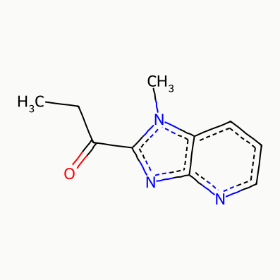 CCC(=O)c1nc2ncccc2n1C